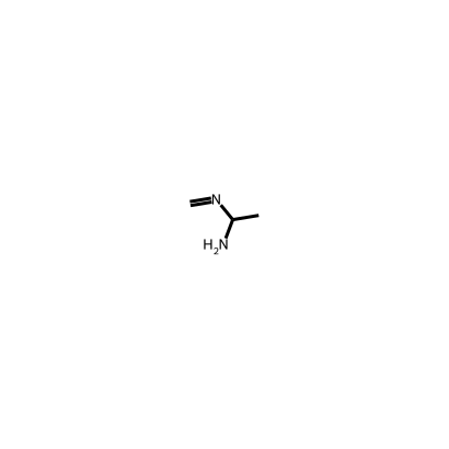 C=NC(C)N